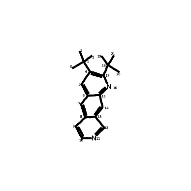 CC(C)(C)c1cc2cc3ccncc3cc2nc1C(C)(C)C